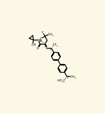 C[C@H](C(=O)O)c1ccc(-c2ccc([C@H](/N=C(\CC(C)(C)F)C(=O)NC3(C#N)CC3)C(F)(F)F)cc2)cc1